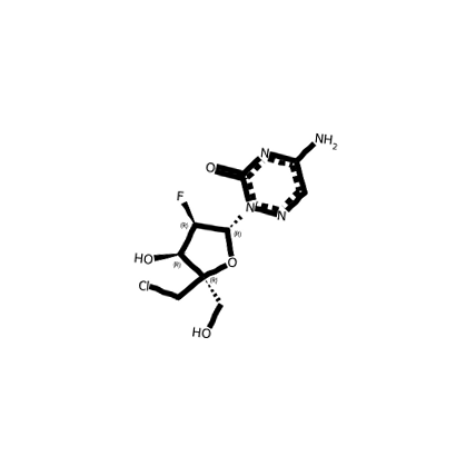 Nc1cnn([C@@H]2O[C@@](CO)(CCl)[C@@H](O)[C@H]2F)c(=O)n1